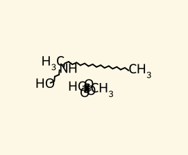 CCCCCCCCCCCCCCCCCC(C)NCCCCO.COS(=O)(=O)O